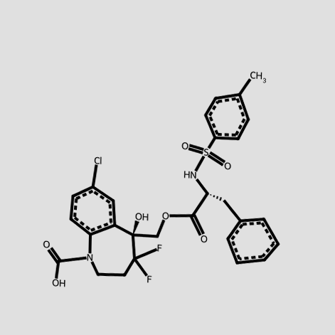 Cc1ccc(S(=O)(=O)N[C@H](Cc2ccccc2)C(=O)OC[C@@]2(O)c3cc(Cl)ccc3N(C(=O)O)CCC2(F)F)cc1